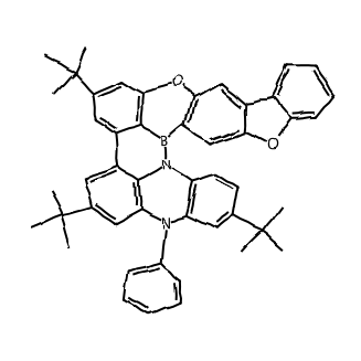 CC(C)(C)c1cc2c3c(c1)-c1cc(C(C)(C)C)cc4c1N(B3c1cc3oc5ccccc5c3cc1O2)c1ccc(C(C)(C)C)cc1N4c1ccccc1